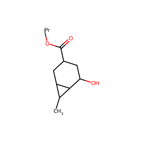 CC(C)OC(=O)C1CC(O)C2C(C)C2C1